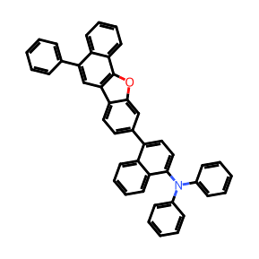 c1ccc(-c2cc3c4ccc(-c5ccc(N(c6ccccc6)c6ccccc6)c6ccccc56)cc4oc3c3ccccc23)cc1